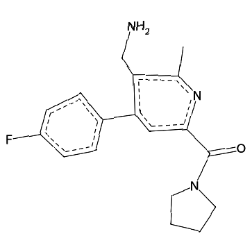 Cc1nc(C(=O)N2CCCC2)cc(-c2ccc(F)cc2)c1CN